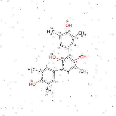 Cc1cc(-c2cc(C)c(O)c(-c3cc(C)c(O)c(C)c3)c2O)cc(C)c1O